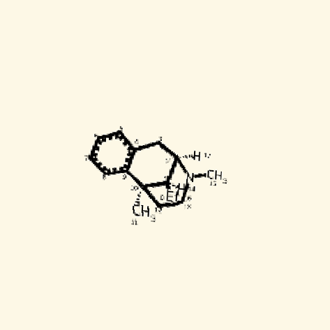 CC[C@@H]1[C@H]2Cc3ccccc3[C@]1(C)CCN2C